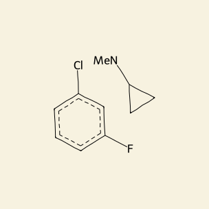 CNC1CC1.Fc1cccc(Cl)c1